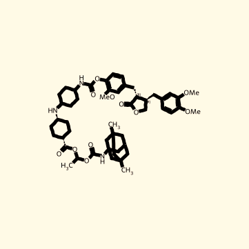 COc1ccc(C[C@H]2COC(=O)[C@@H]2Cc2ccc(OC(=O)NC3CCC(N[C@H]4CC[C@@H](C(=O)OC(C)OC(=O)NC56CC7CC(C)(CC(C)(C7)C5)C6)CC4)CC3)c(OC)c2)cc1OC